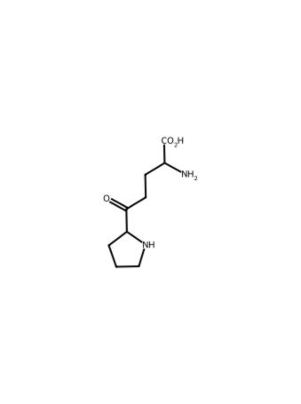 NC(CCC(=O)C1CCCN1)C(=O)O